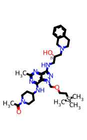 CC(=O)N1CCC(Nc2nc(C)nc3c(NC[C@H](O)CN4CCc5ccccc5C4)nn(COCC[Si](C)(C)C)c23)CC1